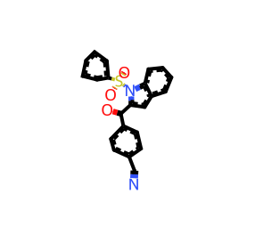 N#Cc1ccc(C(=O)c2cc3ccccc3n2S(=O)(=O)c2ccccc2)cc1